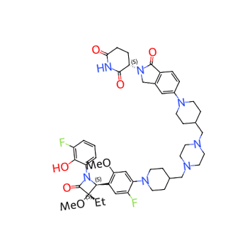 CC[C@@]1(OC)C(=O)N(c2cccc(F)c2O)[C@H]1c1cc(F)c(N2CCC(CN3CCN(CC4CCN(c5ccc6c(c5)CN([C@H]5CCC(=O)NC5=O)C6=O)CC4)CC3)CC2)cc1OC